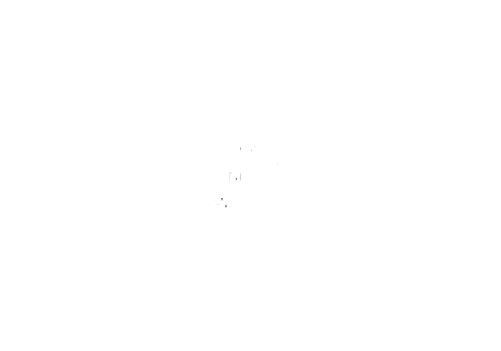 [Co].[Ni].[Ta].[W]